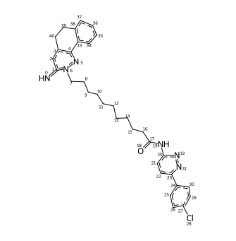 N=c1cc2c(nn1CCCCCCCCCCC(=O)Nc1ccc(-c3ccc(Cl)cc3)nn1)-c1ccccc1CC2